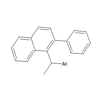 CC(=O)C(C)c1c(-c2ccccc2)ccc2ccccc12